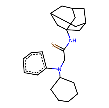 S=C(CN(c1ccccc1)C1CCCCC1)NC12CC3CC(CC(C3)C1)C2